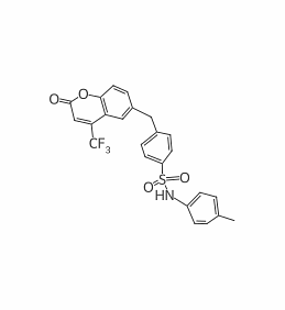 Cc1ccc(NS(=O)(=O)c2ccc(Cc3ccc4oc(=O)cc(C(F)(F)F)c4c3)cc2)cc1